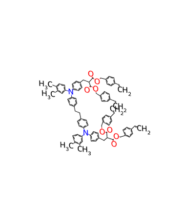 C=Cc1ccc(COC(=O)C(Cc2ccc(N(c3ccc(CCc4ccc(N(c5ccc(CC(C(=O)OCc6ccc(C=C)cc6)C(=O)OCc6ccc(C=C)cc6)cc5)c5ccc(C)c(C)c5)cc4)cc3)c3ccc(C)c(C)c3)cc2)C(=O)OCc2ccc(C=C)cc2)cc1